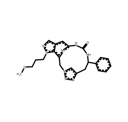 COCCCn1ncc2cc3nc(c21)Cn1cc(nn1)CC(c1ccccc1)NC(=O)N3